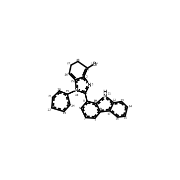 BrC1=c2nc(-c3cccc4c3[nH]c3ccccc34)n(-c3ccccc3)c2=CCC1